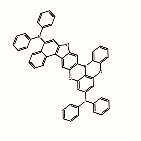 c1ccc(N(c2ccccc2)c2cc3c4c(c2)Oc2cc5c(cc2B4c2ccccc2O3)oc2cc(N(c3ccccc3)c3ccccc3)c3ccccc3c25)cc1